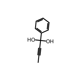 CC#CC(O)(O)c1ccccc1